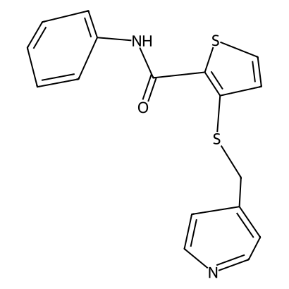 O=C(Nc1ccccc1)c1sccc1SCc1ccncc1